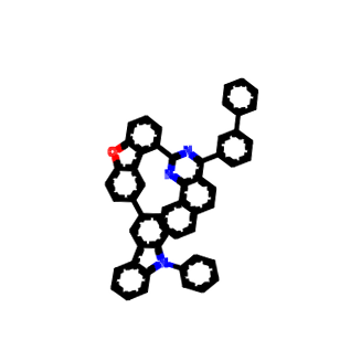 c1ccc(-c2cccc(-c3nc(-c4cccc5oc6ccc(-c7ccc8c(c7)c7ccccc7n8-c7ccccc7)cc6c45)nc4c3ccc3ccccc34)c2)cc1